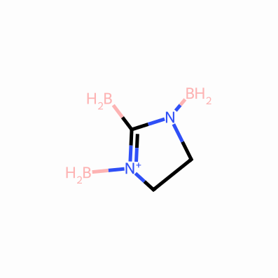 BC1=[N+](B)CCN1B